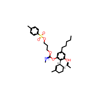 C=C(C)[C@@H]1CCC(C)=C[C@H]1c1c(O)cc(CCCCC)cc1O/C(=N\C)OCCCOS(=O)(=O)c1ccc(C)cc1